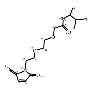 CC(C)C(C)NC(=O)COCCOCCN1C(=O)C=CC1=O